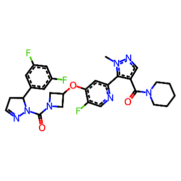 Cn1ncc(C(=O)N2CCCCC2)c1-c1cc(OC2CN(C(=O)N3N=CCC3c3cc(F)cc(F)c3)C2)c(F)cn1